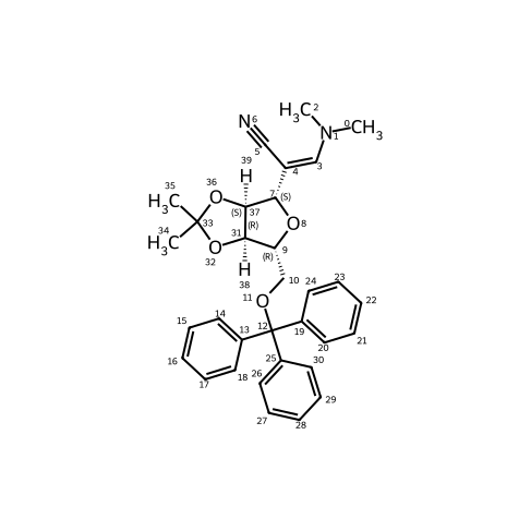 CN(C)C=C(C#N)[C@@H]1O[C@H](COC(c2ccccc2)(c2ccccc2)c2ccccc2)[C@H]2OC(C)(C)O[C@H]21